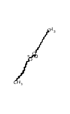 CCCCCCCCCCCCCCCCCCOC(=O)CCC(=S)OCCCCCCCCCCCCCCCCCC